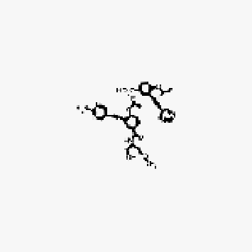 Nc1ncc(C#Cc2cc(C(=O)NC(CO)CCOC(F)(F)F)ccc2OC(F)F)cn1.O=C(O)c1ccc(OC(F)F)c(C#Cc2cncnc2)c1